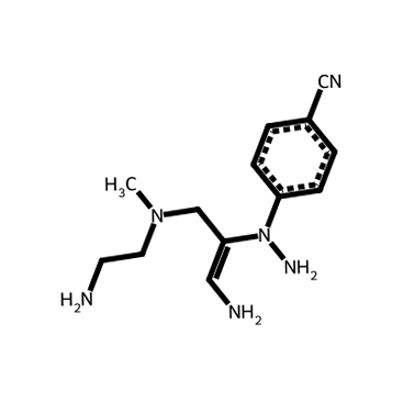 CN(CCN)C/C(=C/N)N(N)c1ccc(C#N)cc1